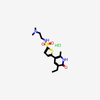 CCc1cc(-c2ccc(S(=O)(=O)NCCN(C)C)s2)c(C)[nH]c1=O.Cl